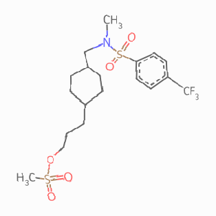 CN(CC1CCC(CCCOS(C)(=O)=O)CC1)S(=O)(=O)c1ccc(C(F)(F)F)cc1